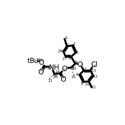 Cc1ccc([C@@H](Oc2ccc(C)cc2Cl)[C@H](C)OC(=O)[C@H](C)NC(=O)OC(C)(C)C)cc1